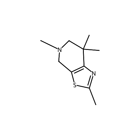 Cc1nc2c(s1)CN(C)CC2(C)C